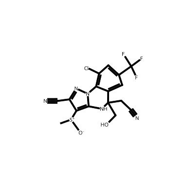 C[S+]([O-])c1c(C#N)nn2c1NC(CO)(CC#N)c1cc(C(F)(F)F)cc(Cl)c1-2